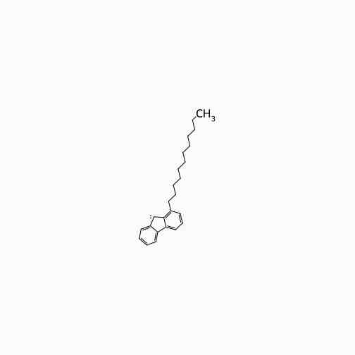 CCCCCCCCCCCCc1cccc2c1[C]c1ccccc1-2